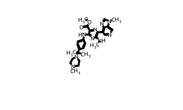 CNc1nc(Nc2ccc(C(C)(C)N3CCN(C)CC3)cc2)c(C(=O)OC)nc1-c1cncc2c1ncn2C